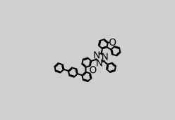 c1ccc(-c2ccc(-c3cccc4oc5c(-c6nc(-c7ccccc7)nc(-c7cccc8oc9ccccc9c78)n6)cccc5c34)cc2)cc1